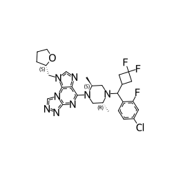 C[C@@H]1CN(c2nc3nncn3c3c2ncn3C[C@@H]2CCCO2)[C@@H](C)CN1C(c1ccc(Cl)cc1F)C1CC(F)(F)C1